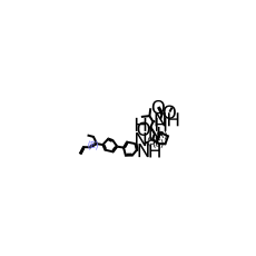 C=C/C=C(\CC)c1ccc(-c2ccc3nc([C@@H]4[C@H]5CC[C@H](C5)N4C(=O)C(NC(=O)OC)C(C)C)[nH]c3c2)cc1